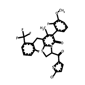 COc1cccc(-c2c(C)c(Cc3c(F)cccc3C(F)(F)F)c3n(c2=O)C(C(=O)c2ccc(Cl)s2)CS3)c1F